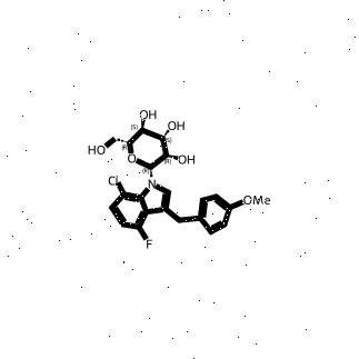 COc1ccc(Cc2cn([C@@H]3O[C@H](CO)[C@@H](O)[C@H](O)[C@H]3O)c3c(Cl)ccc(F)c23)cc1